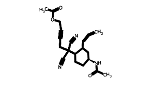 C=C=CC1C[C@@H](NC(C)=O)CCC1C(C#N)(C#N)CC#CCOC(C)=O